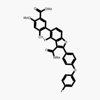 CNC(=O)c1c(-c2ccc(Oc3ccc(F)cc3)cc2)oc2ccc(-c3cc(C(=O)OC)c(OC)cc3C)c(F)c12